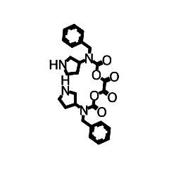 O=C(OC(=O)N(Cc1ccccc1)C1CCNC1)C(=O)OC(=O)N(Cc1ccccc1)C1CCNC1